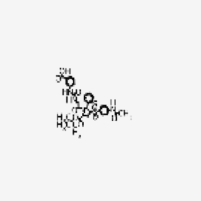 CC(=O)Nc1ccc(S(=O)(=O)C2CC(C(=O)OC(C)(C)C)N(C(=O)CNC(=O)Nc3cccc(C(=O)O)c3)C2c2ccccc2F)cc1